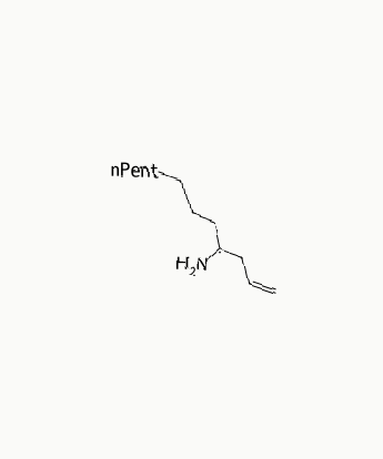 C=CC[C](N)CCCCCCCC